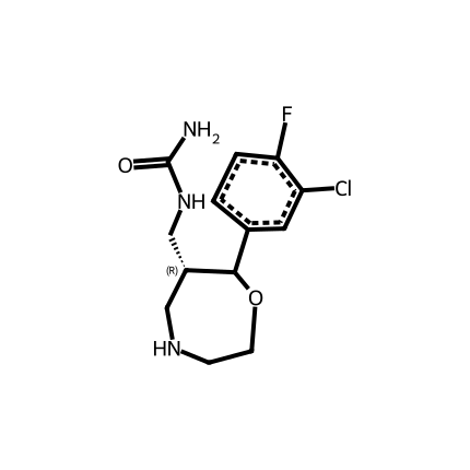 NC(=O)NC[C@H]1CNCCOC1c1ccc(F)c(Cl)c1